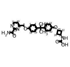 CC(C)(c1ccc(OCc2ccnc(C(N)=O)n2)cc1)c1ccc(O[C@H]2C[C@H](NC(=O)O)C2)cc1